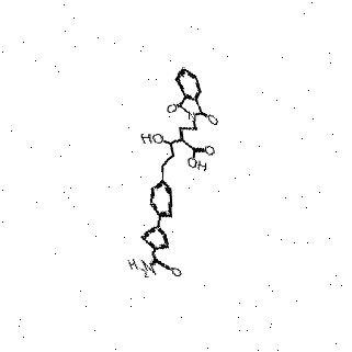 NC(=O)c1ccc(-c2ccc(CCC(O)C(CCN3C(=O)c4ccccc4C3=O)C(=O)O)cc2)cc1